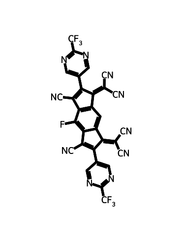 N#CC(C#N)=C1C(c2cnc(C(F)(F)F)nc2)=C(C#N)c2c1cc1c(c2F)C(C#N)=C(c2cnc(C(F)(F)F)nc2)C1=C(C#N)C#N